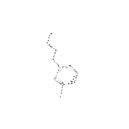 CCC[CH]c1cccc(C)c1